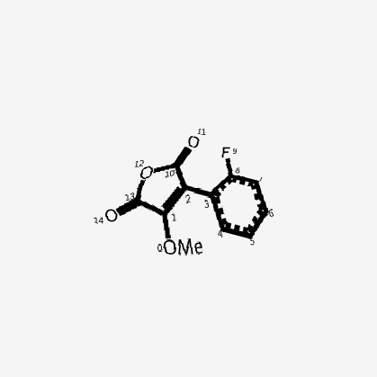 COC1=C(c2ccccc2F)C(=O)OC1=O